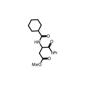 CCCC(=O)C(CC(=O)OC)NC(=O)C1CCCCC1